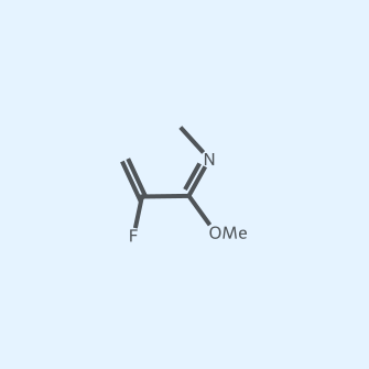 C=C(F)/C(=N\C)OC